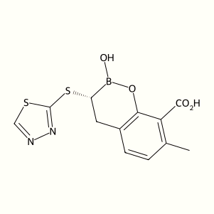 Cc1ccc2c(c1C(=O)O)OB(O)[C@@H](Sc1nncs1)C2